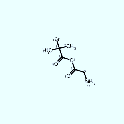 CC(C)(Br)C(=O)OC(=O)CN